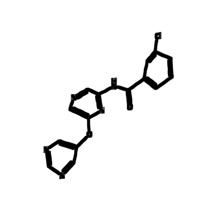 O=C(Nc1cncc(Oc2cncnc2)n1)c1cccc(Cl)c1